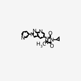 Cn1c(=O)n(C2CC2)c(=O)n1-c1cnc2nn(-c3cccnc3)cc2c1